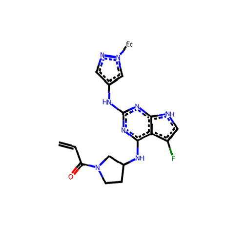 C=CC(=O)N1CCC(Nc2nc(Nc3cnn(CC)c3)nc3[nH]cc(F)c23)C1